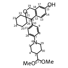 COC(OC)C1CCN(c2ccc([C@@H]3c4ccc(O)cc4COC34CCCCC4)cc2)CC1